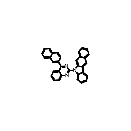 c1ccc2cc(-c3nc(-n4c5ccccc5c5cc6ccccc6cc54)nc4ccccc34)ccc2c1